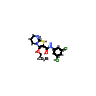 CCOC(=O)COC1=C(C(=O)Nc2cc(Cl)cc(Cl)c2)SC2=NCCCN21